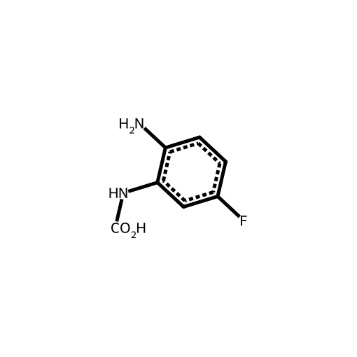 Nc1ccc(F)cc1NC(=O)O